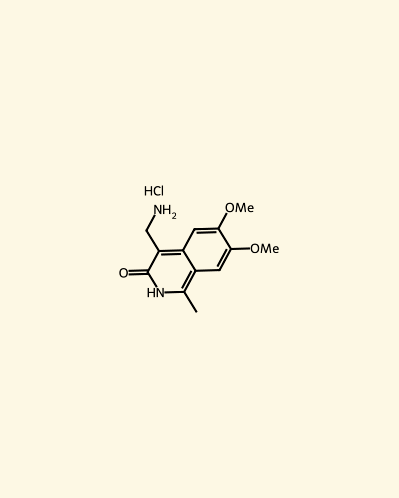 COc1cc2c(C)[nH]c(=O)c(CN)c2cc1OC.Cl